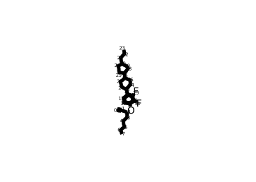 C#CC(CCCCC)Oc1ccc(C2CCC(C3CCC(CCC)CC3)CC2)c(F)c1F